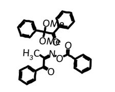 CC(=NOC(=O)c1ccccc1)C(=O)c1ccccc1.COC(OC)(C(=O)c1ccccc1)c1ccccc1